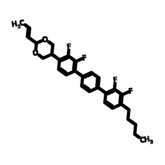 C/C=C/C1OCC(c2ccc(-c3ccc(-c4ccc(CCCCC)c(F)c4F)cc3)c(F)c2F)CO1